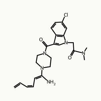 C=C/C=C\C=C(/N)N1CCN(C(=O)c2cn(CC(=O)N(C)C)c3cc(Cl)ccc23)CC1